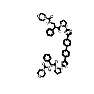 O=C(NCC(C(=O)N1CCC[C@H]1c1ncc(-c2ccc(-c3ccc(-c4cnc([C@@H]5CCCN5C(=O)[C@H](NC(=O)N5CCOCC5)c5ccccc5)s4)cc3)cc2)s1)c1ccccc1)N1CCOCC1